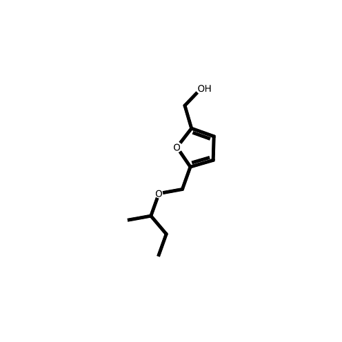 CCC(C)OCc1ccc(CO)o1